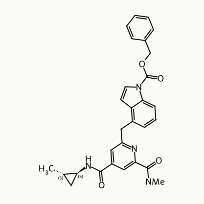 CNC(=O)c1cc(C(=O)N[C@H]2C[C@@H]2C)cc(Cc2cccc3c2ccn3C(=O)OCc2ccccc2)n1